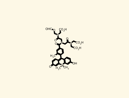 Cc1cc(C(=O)N(CC(=O)N(COC=O)CC(=O)O)CC(=O)N(CC(=O)O)CC(=O)O)ccc1C1=C2C=CC(=O)C=C2[Si](C)(C)c2cc(O)ccc21